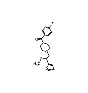 COC(CN1CCC(C(=O)c2ccc(F)cc2)CC1)c1cccs1